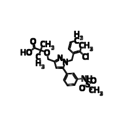 C/C=C\C(Cn1nc(COC(C)(C)C(=O)O)cc1-c1cccc(NS(C)(=O)=O)c1)=C(/C)Cl